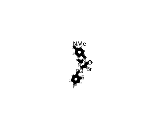 CNCc1ccc(Cn2c(C)nc(OCc3ccc(F)cc3F)c(Br)c2=O)cc1